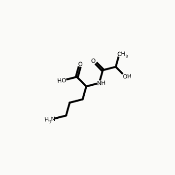 CC(O)C(=O)NC(CCCN)C(=O)O